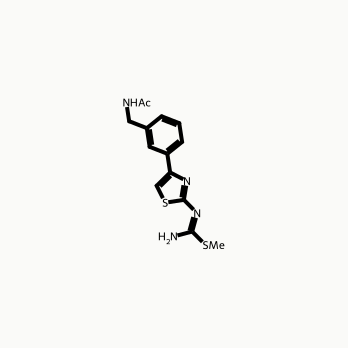 CSC(N)=Nc1nc(-c2cccc(CNC(C)=O)c2)cs1